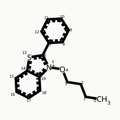 CCCCO[n+]1c(-c2ccccc2)sc2ccccc21